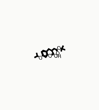 CC(C)Oc1ccc(CC(CC(=O)OC(C)(C)C)C(=O)O)cc1